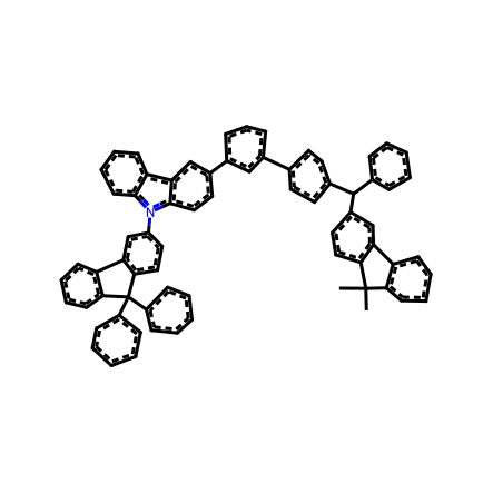 CC1(C)c2ccccc2-c2cc(C(c3ccccc3)c3ccc(-c4cccc(-c5ccc6c(c5)c5ccccc5n6-c5ccc6c(c5)-c5ccccc5C6(c5ccccc5)c5ccccc5)c4)cc3)ccc21